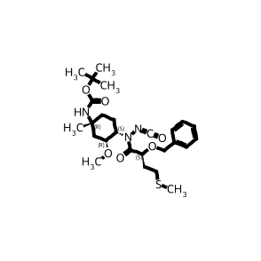 CO[C@@H]1C[C@](C)(NC(=O)OC(C)(C)C)CC[C@@H]1N(N=C=O)C(=O)[C@H](CCSC)OCc1ccccc1